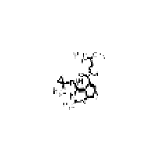 Cc1nc(NC2(C)CC2)c2c(C(=O)NCCC(C)C)coc2n1